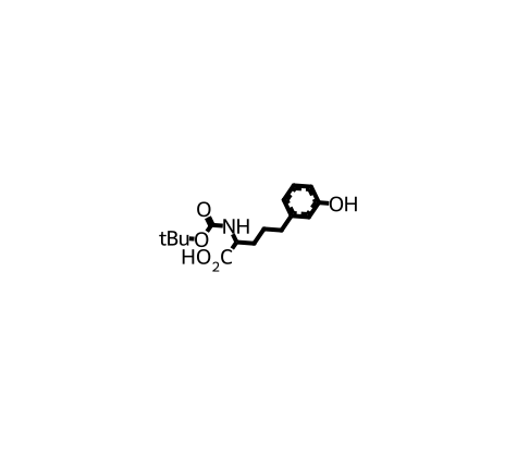 CC(C)(C)OC(=O)NC(CCCc1cccc(O)c1)C(=O)O